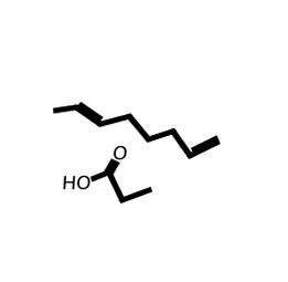 C=CCCC/C=C/C.CCC(=O)O